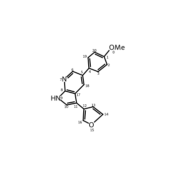 COc1ccc(-c2cnc3[nH]cc(-c4ccoc4)c3c2)cc1